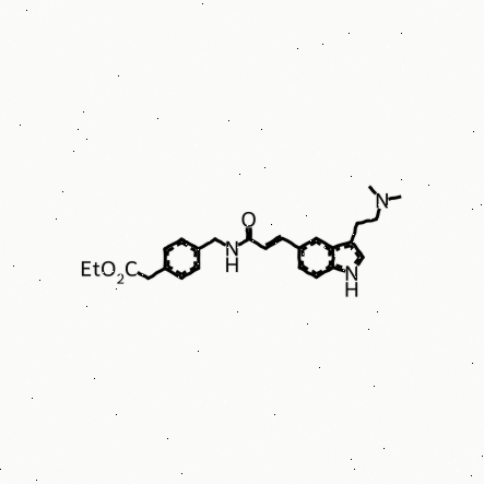 CCOC(=O)Cc1ccc(CNC(=O)/C=C/c2ccc3[nH]cc(CCN(C)C)c3c2)cc1